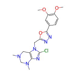 COc1ccc(-c2nnc(Cn3c(Cl)nc4c3CN(C)CN4C)o2)cc1OC